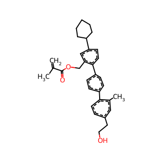 C=C(C)C(=O)OCc1cc(C2CCCCC2)ccc1-c1ccc(-c2ccc(CCO)cc2C)cc1